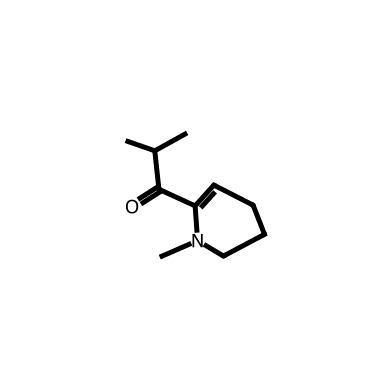 CC(C)C(=O)C1=CCCCN1C